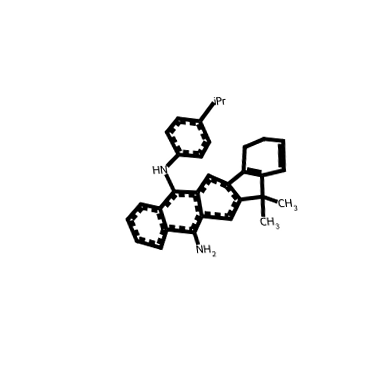 CC(C)c1ccc(Nc2c3ccccc3c(N)c3cc4c(cc23)C2=C(C=CCC2)C4(C)C)cc1